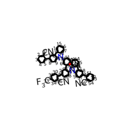 N#Cc1ccccc1-c1ccc2c(c1)c1ccccc1n2-c1ccc(C#N)c(-c2cc(-c3ccc(C(F)(F)F)cc3C#N)ccc2-n2c3ccccc3c3cc(-c4ccccc4C#N)ccc32)c1